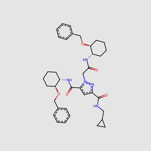 O=C(Cn1nc(C(=O)NCC2CC2)cc1C(=O)N[C@H]1CCCC[C@@H]1OCc1ccccc1)N[C@H]1CCCC[C@@H]1OCc1ccccc1